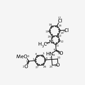 COC(=O)c1ccc(C2(NC(=O)c3cc4c(Cl)c(Cl)ccc4n3C)COC2)cc1